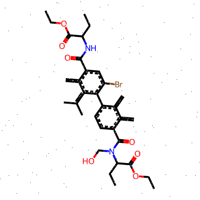 C=c1c(C(=O)N(CO)C(CC)C(=O)OCC)ccc(-c2c(Br)cc(C(=O)NC(CC)C(=O)OCC)c(=C)c2=C(C)C)c1=C